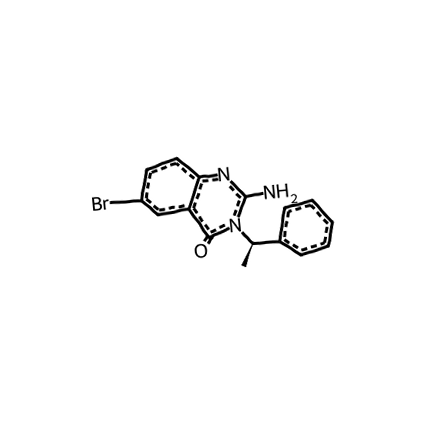 C[C@H](c1ccccc1)n1c(N)nc2ccc(Br)cc2c1=O